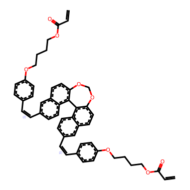 C=CC(=O)OCCCCOc1ccc(/C=C\c2ccc3c4c(ccc3c2)OCOc2ccc3cc(/C=C\c5ccc(OCCCCOC(=O)C=C)cc5)ccc3c2-4)cc1